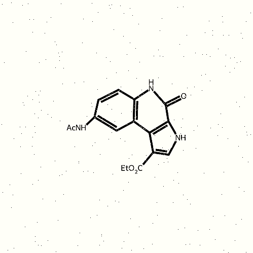 CCOC(=O)c1c[nH]c2c(=O)[nH]c3ccc(NC(C)=O)cc3c12